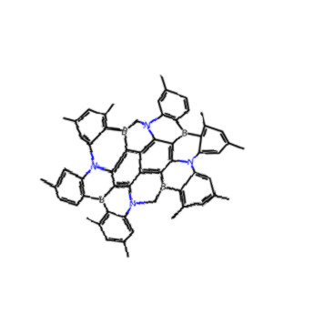 Cc1ccc2c(c1)N1CB3c4c(C)cc(C)cc4N4c5cc(C)ccc5B5c6c(C)cc(C)cc6N6CB7c8c(C)cc(C)cc8N8c9cc(C)cc(C)c9B2c2c8c7c7c6c5c4c3c7c21